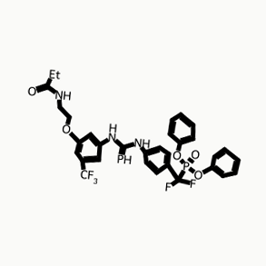 CCC(=O)NCCOc1cc(NC(=P)Nc2ccc(C(F)(F)P(=O)(Oc3ccccc3)Oc3ccccc3)cc2)cc(C(F)(F)F)c1